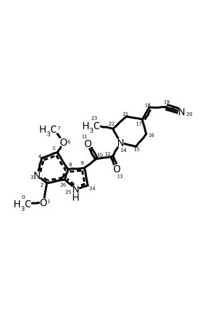 COc1ncc(OC)c2c(C(=O)C(=O)N3CC/C(=C\C#N)CC3C)c[nH]c12